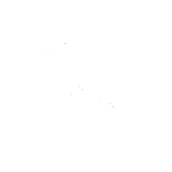 c1ccc(-c2ccc(N(c3ccc(-c4ccccc4-n4c5ccccc5c5ccccc54)cc3)c3ccc(-c4cccc5ccccc45)cc3)cc2)cc1